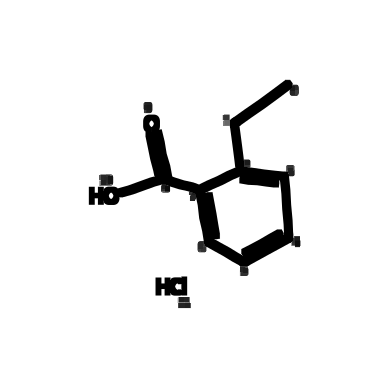 CCc1ccccc1C(=O)O.Cl